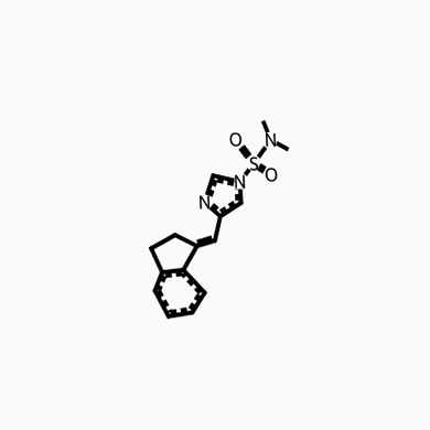 CN(C)S(=O)(=O)n1cnc(C=C2CCc3ccccc32)c1